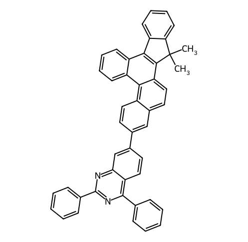 CC1(C)c2ccccc2-c2c1c1ccc3cc(-c4ccc5c(-c6ccccc6)nc(-c6ccccc6)nc5c4)ccc3c1c1ccccc21